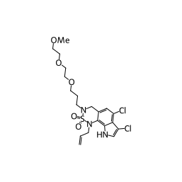 C=CCN1c2c(cc(Cl)c3c(Cl)c[nH]c23)CN(CCCOCCOCCOC)S1(=O)=O